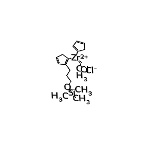 C[CH]=[Zr+2]([C]1=CC=CC1)[C]1=C(CCCO[Si](C)(C)C)C=CC1.[Cl-].[Cl-]